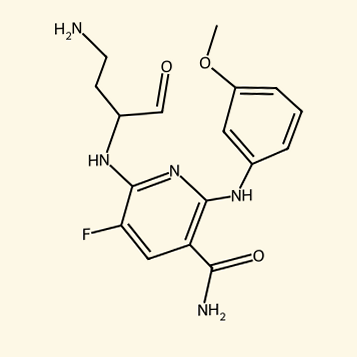 COc1cccc(Nc2nc(NC(C=O)CCN)c(F)cc2C(N)=O)c1